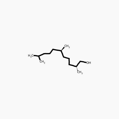 CC(C)CCC[C@@H](C)CCC[C@@H](C)CO